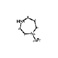 [CH2]CCN1CCCNCC1